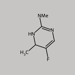 CNC1=NC=C(F)C(C)N1